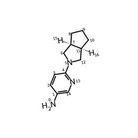 Nc1ccc(N2C[C@H]3CCC[C@H]3C2)nc1